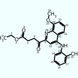 CCOC(=O)CCC(=O)c1cc(Nc2ccccc2C)c2cccc(OC)c2n1